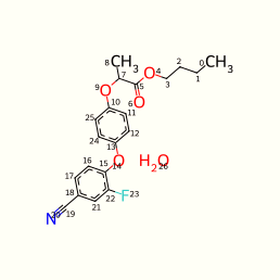 CCCCOC(=O)C(C)Oc1ccc(Oc2ccc(C#N)cc2F)cc1.O